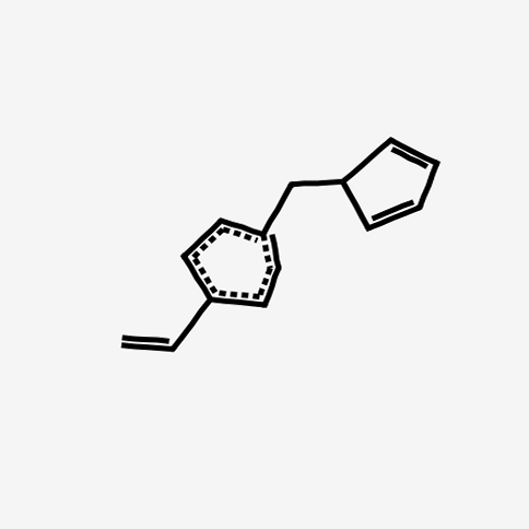 C=Cc1ccc(CC2C=CC=C2)cc1